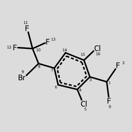 FC(F)c1c(Cl)cc(C(Br)C(F)(F)F)cc1Cl